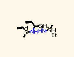 C=CC(N[SiH](C)C=C)[SiH2]N[SiH](C)CC